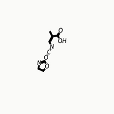 C1=NCCO1.CC(=CN=C=O)C(=O)O